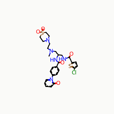 CN(CCN1CCS(=O)(=O)CC1)CC(CNC(=O)c1ccc(Cl)s1)NC(=O)c1ccc(-n2ccccc2=O)cc1